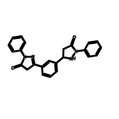 O=C1CC(c2cccc(C3CC(=O)N(c4ccccc4)N3)c2)=NN1c1ccccc1